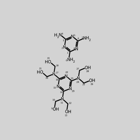 Nc1nc(N)nc(N)n1.OCN(CO)c1nc(N(CO)CO)nc(N(CO)CO)n1